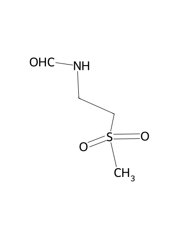 CS(=O)(=O)CCNC=O